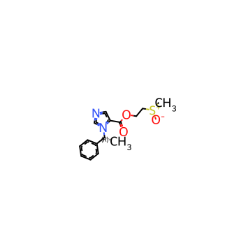 C[C@H](c1ccccc1)n1cncc1C(=O)OCC[S+](C)[O-]